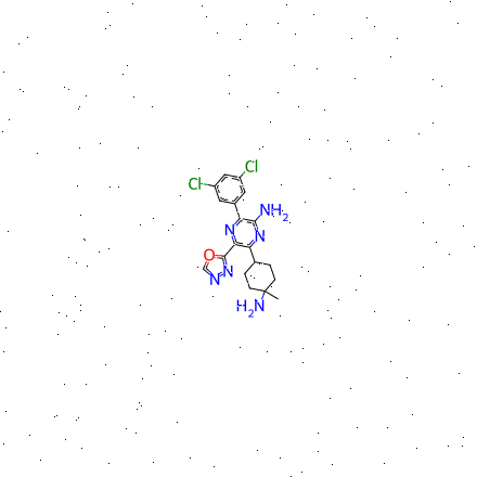 CC1(N)CCC(c2nc(N)c(-c3cc(Cl)cc(Cl)c3)nc2-c2nnco2)CC1